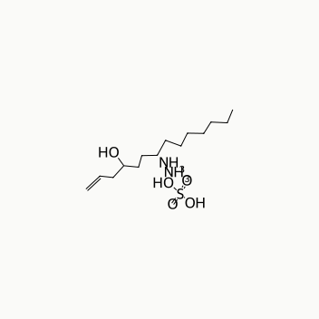 C=CCC(O)CCCCCCCCCC.N.N.O=S(=O)(O)O